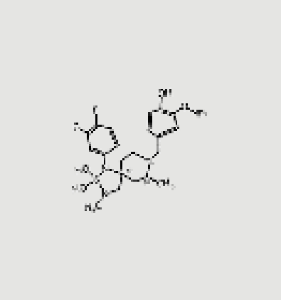 CC(C)Oc1cc(CN2CC[C@@]3(C[C@@H]2C)CN(C)S(O)(O)N3c2ccc(F)c(F)c2)ccc1O